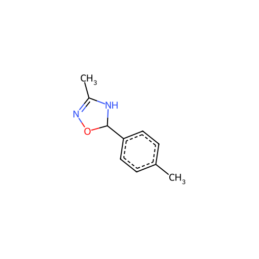 CC1=NOC(c2ccc(C)cc2)N1